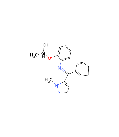 Cn1nccc1C(=Nc1ccccc1O[SiH](C)C)c1ccccc1